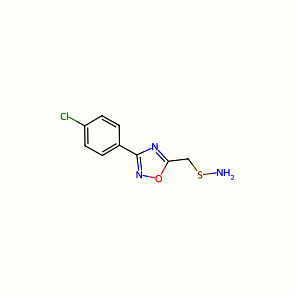 NSCc1nc(-c2ccc(Cl)cc2)no1